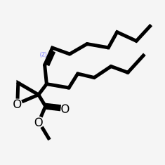 CCCCCC/C=C\C(CCCCCC)C1(C(=O)OC)CO1